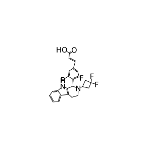 O=C(O)/C=C/c1cc(F)c([C@@H]2c3[nH]c4ccccc4c3CCN2C2CC(F)(F)C2)c(F)c1